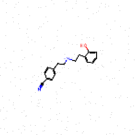 N#Cc1ccc(CCNCCc2ccccc2O)cc1